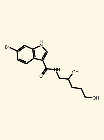 O=C(NCC(O)CCCO)c1c[nH]c2cc(Br)ccc12